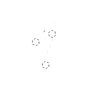 COCOc1ccc(CCCCOCc2ccc(OC)cc2)c(CSc2ccccc2)c1C(=O)OC